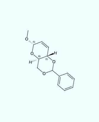 CO[C@@H]1C=C[C@@H]2OC(c3ccccc3)OC[C@H]2O1